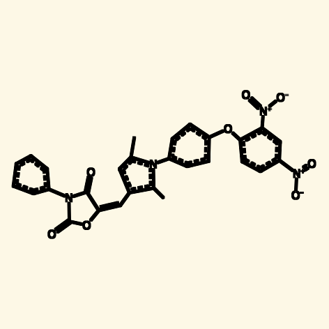 Cc1cc(/C=C2/OC(=O)N(c3ccccc3)C2=O)c(C)n1-c1ccc(Oc2ccc([N+](=O)[O-])cc2[N+](=O)[O-])cc1